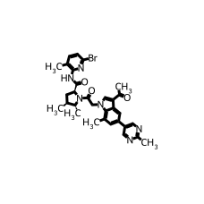 CC(=O)c1cn(CC(=O)N2[C@H](C)[C@@H](C)C[C@H]2C(=O)Nc2nc(Br)ccc2C)c2c(C)cc(-c3cnc(C)nc3)cc12